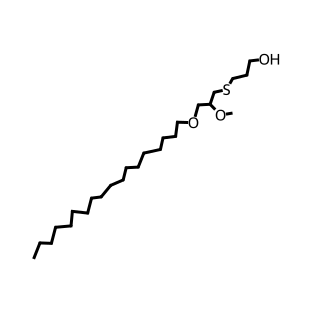 CCCCCCCCCCCCCCCCCCOCC(CSCCCO)OC